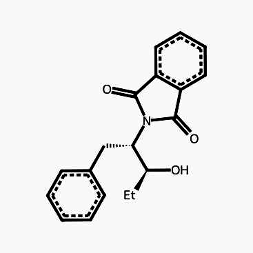 CC[C@H](O)[C@H](Cc1ccccc1)N1C(=O)c2ccccc2C1=O